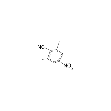 Cc1cc([N+](=O)[O-])cc(C)c1C#N